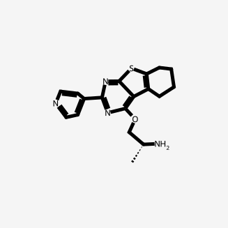 C[C@@H](N)COc1nc(-c2ccncc2)nc2sc3c(c12)CCCC3